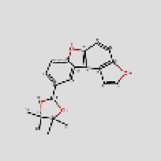 CC1(C)OB(c2ccc3oc4ccc5occc5c4c3c2)OC1(C)C